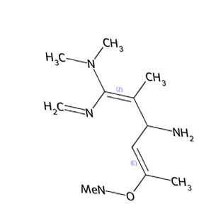 C=N/C(=C(/C)C(N)/C=C(\C)ONC)N(C)C